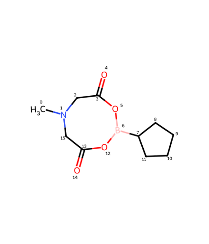 CN1CC(=O)OB(C2CCCC2)OC(=O)C1